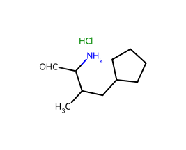 CC(CC1CCCC1)C(N)C=O.Cl